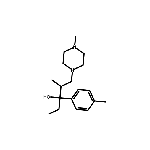 CCC(O)(c1ccc(C)cc1)C(C)CN1CCN(C)CC1